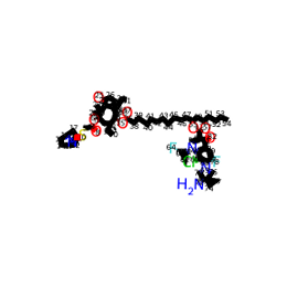 C=C[C@@]1(C)C[C@H](OC(=O)CSC2CC3CCC(C2)N3C)C(C)(C)C2C(=O)CCC2(CCC)[C@H](C)[C@H]1OC(=O)CCCCCCCCCCC(CCCCCC)OC(=O)c1cn(C2C[C@@H]2F)c2c(Cl)c(N3C[C@@H](N)C4(CC4)C3)c(F)cc2c1=O